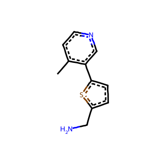 Cc1ccncc1-c1ccc(CN)s1